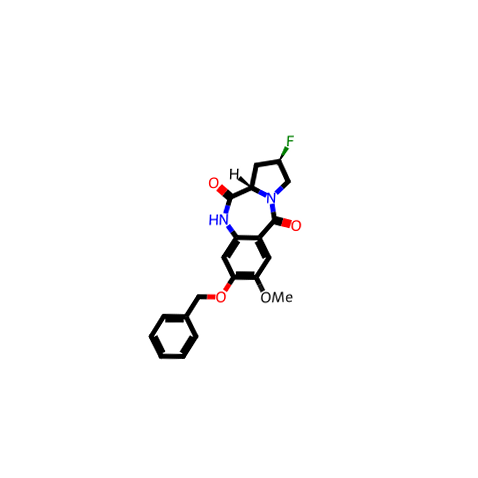 COc1cc2c(cc1OCc1ccccc1)NC(=O)[C@@H]1C[C@@H](F)CN1C2=O